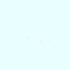 C1=C2CC[C@@H]3c4ccccc4CC[C@H]3[C@@H]2CC1